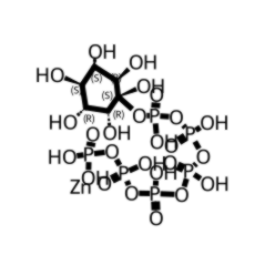 O=P(O)(O)OP(=O)(O)OP(=O)(O)OP(=O)(O)OP(=O)(O)OP(=O)(O)O[C@]1(O)[C@H](O)[C@H](O)[C@@H](O)[C@H](O)[C@H]1O.[Zn]